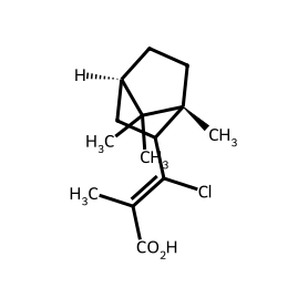 CC(C(=O)O)=C(Cl)C1C[C@H]2CC[C@@]1(C)C2(C)C